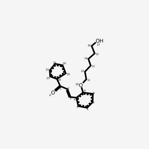 O=C(C=Cc1ccccc1OCCCCCCO)c1ccccc1